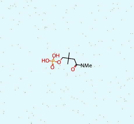 CNC(=O)CC(C)(C)COP(=O)(O)O